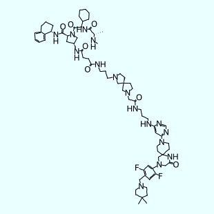 CN[C@@H](C)C(=O)N[C@H](C(=O)N1C[C@@H](NC(=O)CCC(=O)NCCCN2CC[C@]3(CCN(CC(=O)NCCCNc4cc(N5CCC6(CC5)CN(c5cc(F)c(CN7CCC(C)(C)CC7)cc5F)CC(=O)N6)ncn4)C3)C2)C[C@H]1C(=O)N[C@H]1CCCc2ccccc21)C1CCCCC1